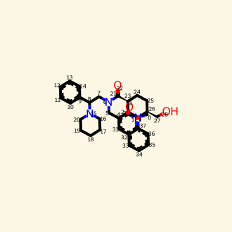 Cn1c(=O)c(CN(CC(c2ccccc2)N2CCCCC2)C(=O)[C@H]2CC[C@@H](CO)CC2)cc2ccccc21